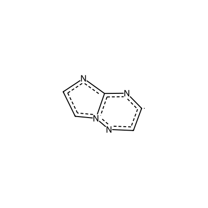 [c]1cnn2ccnc2n1